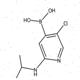 CC(C)Nc1cc(B(O)O)c(Cl)cn1